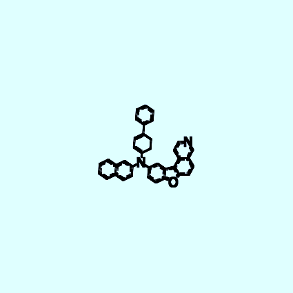 C1=C(c2ccccc2)CCC(N(c2ccc3ccccc3c2)c2ccc3oc4ccc5cnccc5c4c3c2)=C1